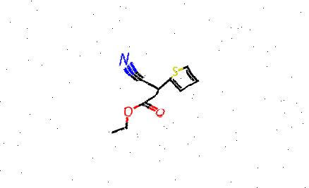 CCOC(=O)C(C#N)c1cccs1